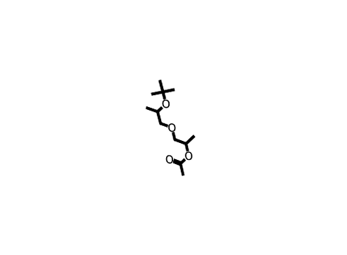 CC(=O)OC(C)COCC(C)OC(C)(C)C